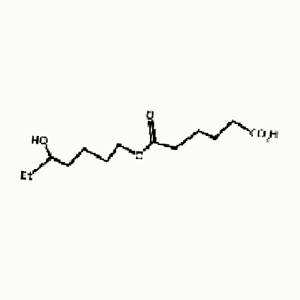 CCC(O)CCCCOC(=O)CCCCC(=O)O